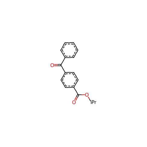 CC(C)OC(=O)c1ccc(C(=O)c2ccccc2)cc1